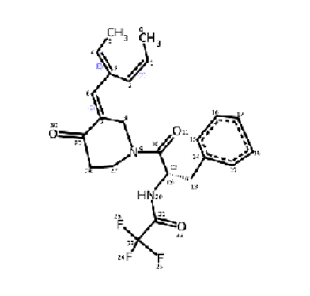 C\C=C/C(=C\C)/C=C1\CN(C(=O)[C@H](Cc2ccccc2)NC(=O)C(F)(F)F)CCC1=O